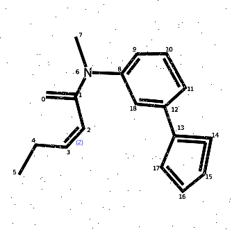 C=C(/C=C\CC)N(C)c1cccc(C2=C=CC=C2)c1